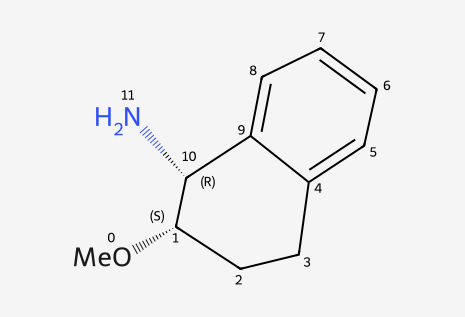 CO[C@H]1CCc2ccccc2[C@H]1N